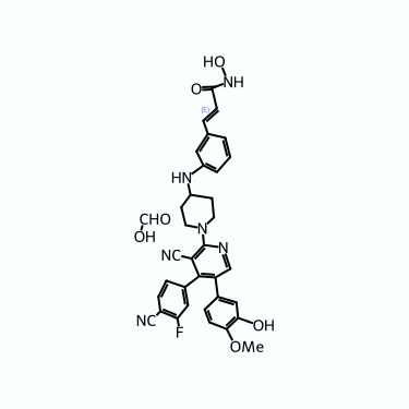 COc1ccc(-c2cnc(N3CCC(Nc4cccc(/C=C/C(=O)NO)c4)CC3)c(C#N)c2-c2ccc(C#N)c(F)c2)cc1O.O=CO